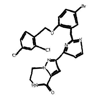 O=C1NCCn2nc(-c3ccnc(-c4cc(Br)ccc4OCc4ccc(Cl)cc4Cl)n3)cc21